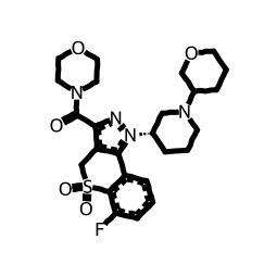 O=C(c1nn([C@H]2CCCN(C3CCCOC3)C2)c2c1CS(=O)(=O)c1c(F)cccc1-2)N1CCOCC1